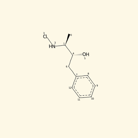 C[C@H](NCl)[C@H](O)Cc1ccccc1